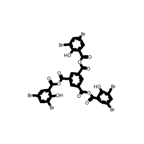 O=C(OC(=O)c1cc(Br)cc(Br)c1O)c1cc(C(=O)OC(=O)c2cc(Br)cc(Br)c2O)cc(C(=O)OC(=O)c2cc(Br)cc(Br)c2O)c1